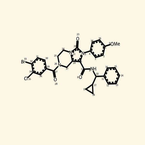 COc1ccc(-n2c(C(=O)NC(c3ccccc3)C3CC3)c3n(c2=O)CCN(C(=O)c2ccc(Br)c(Cl)c2)C3)cc1